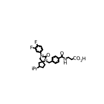 CC(C)C1CCC2(C1)CN(c1ccc(F)c(F)c1)C(=O)N2Cc1ccc(C(=O)NCCC(=O)O)cc1